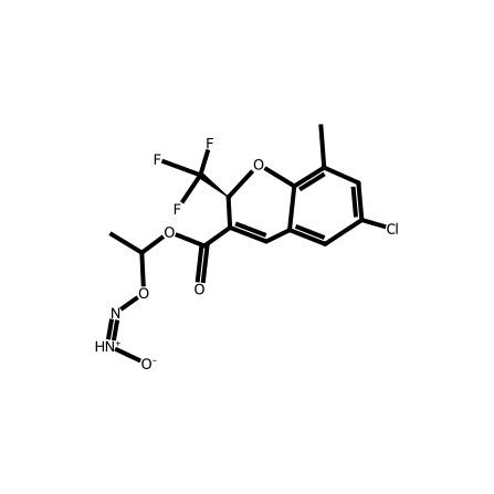 Cc1cc(Cl)cc2c1O[C@H](C(F)(F)F)C(C(=O)OC(C)O/N=[NH+]\[O-])=C2